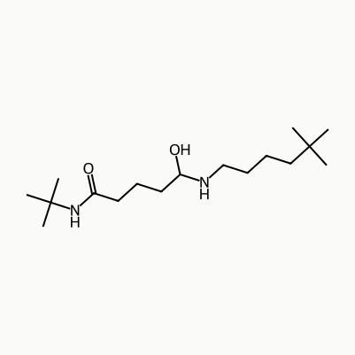 CC(C)(C)CCCCNC(O)CCCC(=O)NC(C)(C)C